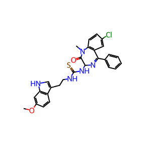 COc1ccc2c(CCNC(=S)NC3N=C(c4ccccc4)c4cc(Cl)ccc4N(C)C3=O)c[nH]c2c1